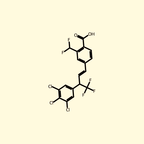 O=C(O)c1ccc(C=CC(c2cc(Cl)c(Cl)c(Cl)c2)C(F)(F)F)cc1C(F)F